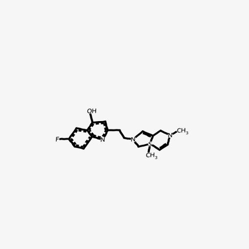 CN1C=CS2(C)CN(CCc3cc(O)c4cc(F)ccc4n3)C=C2C1